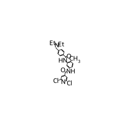 CCN(CC)Cc1ccc(C(=O)Nc2cc(NC(=O)c3cc(Cl)nc(Cl)c3)ccc2C)cc1